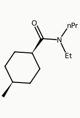 CCCN(CC)C(=O)[C@H]1CC[C@@H](C)CC1